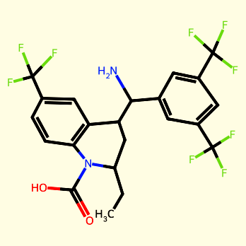 CCC1CC(C(N)c2cc(C(F)(F)F)cc(C(F)(F)F)c2)c2cc(C(F)(F)F)ccc2N1C(=O)O